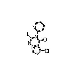 O=c1c2c(Cl)ccn2nc(I)n1-c1ccccn1